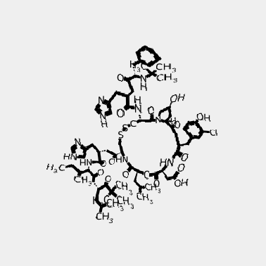 CCC(C)[C@H](NC(=O)[C@@H](CC(=O)[C@@H]1CSSC[C@H](NC(=O)[C@H](CC(=O)[C@H](Cc2ccccc2)NC(C)(C)C)Cc2c[nH]cn2)C(=O)N2C[C@H](O)C[C@@H]2C(=O)C[C@@H](Cc2ccc(O)c(Cl)c2)C(=O)N[C@@H](CC(=O)O)C(=O)C[C@@H](CC(C)C)C(=O)N1)Cc1c[nH]cn1)C(=O)C[C@@H](CC(C)C)C(=O)C(C)(C)C